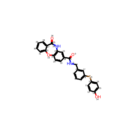 O=C(NCc1cccc(Sc2ccc(O)cc2)c1)c1ccc2c(c1)NC(=O)c1ccccc1O2